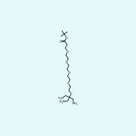 CC(C)(C)OC(=O)CCOCCOCCOCCOCCOC(CN)(CN)CN